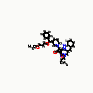 CCCNC[C@H](CC1CCCCC1)Nc1c(N2CCC[C@@H](C(OCCCOC)c3ccccc3)C2)c(=O)c1=O